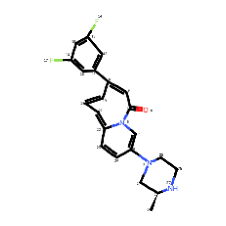 C[C@H]1CN(C2=CN3C(=O)\C=C(c4cc(F)cc(F)c4)/C=C/C=C/3C=C2)CCN1